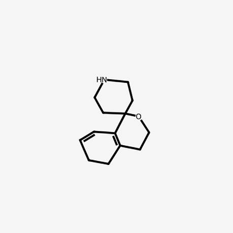 C1=CC2=C(CC1)CCOC21CCNCC1